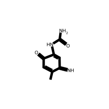 CC1=CC(=O)C(NC(N)=O)=CC1=N